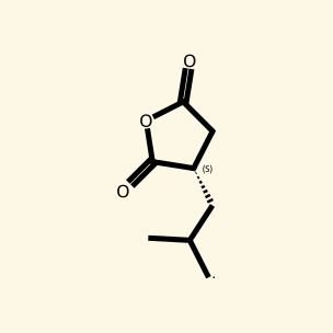 [CH2]C(C)C[C@H]1CC(=O)OC1=O